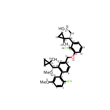 COc1ccc(F)c(-c2ccc(COc3cccc([C@@H](CC(=O)O)C4(C)CC4)c3F)cc2[C@H](OC)C2(C)CC2)c1